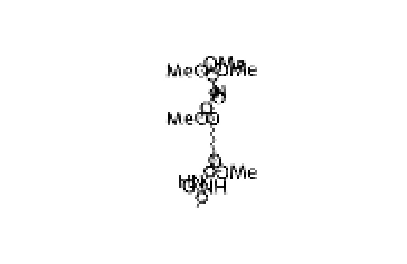 COc1cc(C2NC(=O)c3cc(C)ccc3N2)ccc1OCCCCCCCOc1cc(-c2cc(-c3cc(OC)c(OC)c(OC)c3)no2)ccc1OC